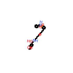 CC1(C)OCc2cc([C@H](O)CNCCCCCCOCCCCc3cccc(S(=O)(=O)NC(C)(C)c4ccccc4)c3)ccc2O1